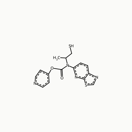 CC(CS)N(C(=O)Oc1ccncc1)c1ccc2ncsc2n1